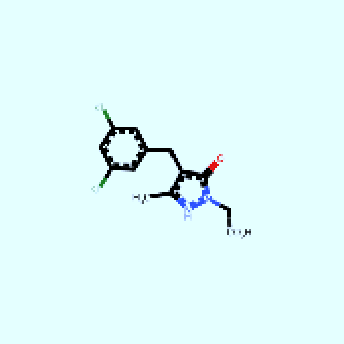 Cc1[nH]n(CC(=O)O)c(=O)c1Cc1cc(Cl)cc(Cl)c1